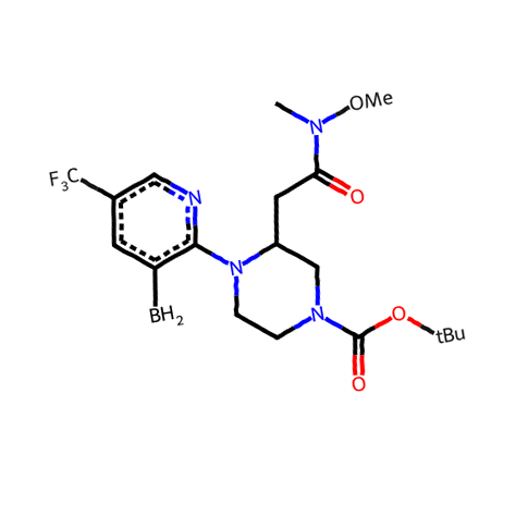 Bc1cc(C(F)(F)F)cnc1N1CCN(C(=O)OC(C)(C)C)CC1CC(=O)N(C)OC